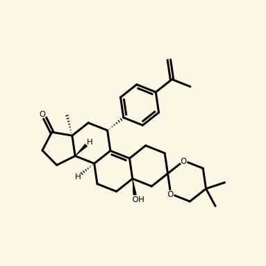 C=C(C)c1ccc([C@H]2C[C@]3(C)C(=O)CC[C@H]3[C@@H]3CC[C@@]4(O)CC5(CCC4=C32)OCC(C)(C)CO5)cc1